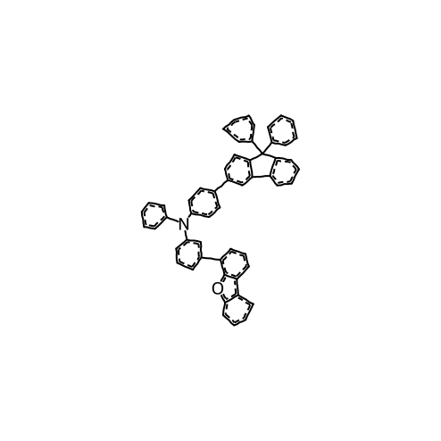 c1ccc(N(c2ccc(-c3ccc4c(c3)-c3ccccc3C4(c3ccccc3)c3ccccc3)cc2)c2cccc(-c3cccc4c3oc3ccccc34)c2)cc1